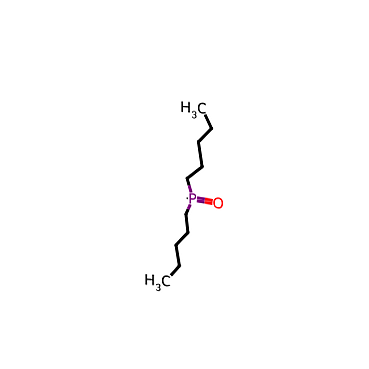 CCCCC[P](=O)CCCCC